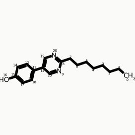 CCCCCCCCc1ncc(-c2ccc(O)cc2)cn1